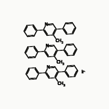 Cc1cc(-c2ccccc2)ncc1-c1ccccc1.Cc1cc(-c2ccccc2)ncc1-c1ccccc1.Cc1cc(-c2ccccc2)ncc1-c1ccccc1.[Ir]